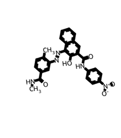 CNC(=O)c1ccc(C)c(/N=N/c2c(O)c(C(=O)Nc3ccc([N+](=O)[O-])cc3)cc3ccccc23)c1